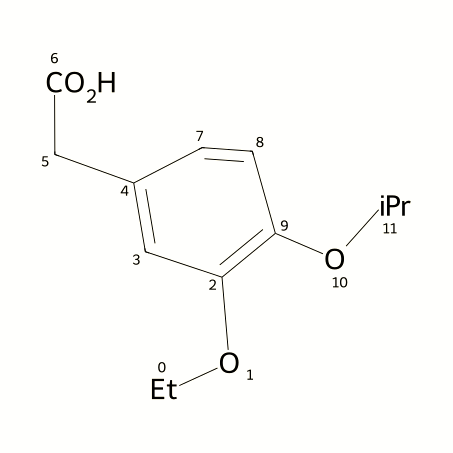 CCOc1cc(CC(=O)O)ccc1OC(C)C